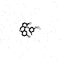 Cc1cc(-n2c(=O)ccc3cnc4ccc(Br)cc4c32)cc([N+](=O)[O-])c1